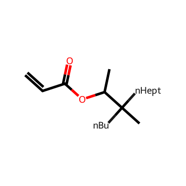 C=CC(=O)OC(C)C(C)(CCCC)CCCCCCC